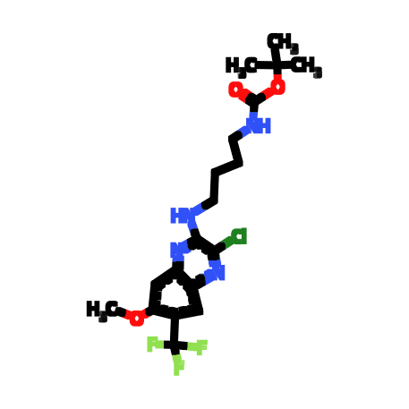 COc1cc2nc(NCCCCNC(=O)OC(C)(C)C)c(Cl)nc2cc1C(F)(F)F